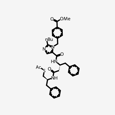 CCCCc1ncc(C(=O)N[C@@H](CC(=O)N[C@H](CSC(C)=O)Cc2ccccc2)Cc2ccccc2)n1Cc1ccc(C(=O)OC)cc1